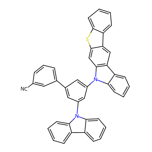 N#Cc1cccc(-c2cc(-n3c4ccccc4c4ccccc43)cc(-n3c4ccccc4c4cc5c(cc43)sc3ccccc35)c2)c1